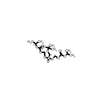 CC(C)OC(=O)OCOP(=O)(COC(C)(C)C)OCOC(=O)OC(C)C